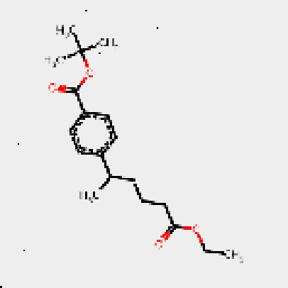 CCOC(=O)CCCC(C)c1ccc(C(=O)OC(C)(C)C)cc1